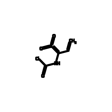 C=CC(NC(=O)Cl)=S(=O)=O